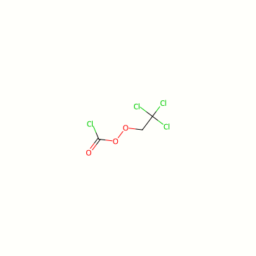 O=C(Cl)OOCC(Cl)(Cl)Cl